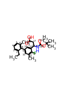 CCc1cccc(C)c1-c1cc(C)c(F)c(C(CC(=O)O)NC(=O)OC(C)(C)C)c1